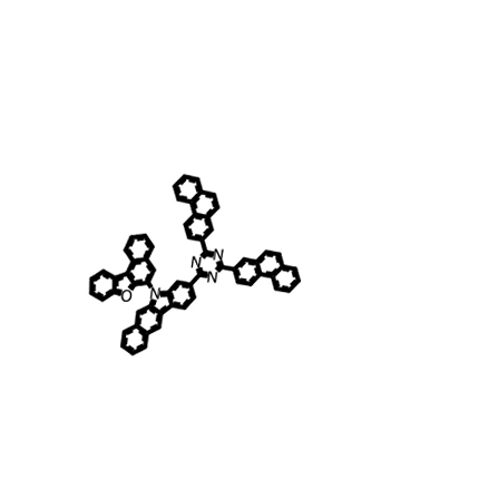 c1ccc2cc3c(cc2c1)c1ccc(-c2nc(-c4ccc5c(ccc6ccccc65)c4)nc(-c4ccc5c(ccc6ccccc65)c4)n2)cc1n3-c1cc2ccccc2c2c1oc1ccccc12